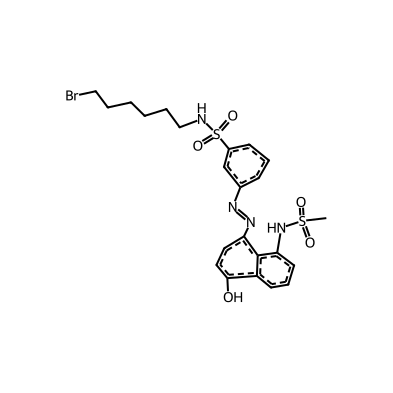 CS(=O)(=O)Nc1cccc2c(O)ccc(N=Nc3cccc(S(=O)(=O)NCCCCCCBr)c3)c12